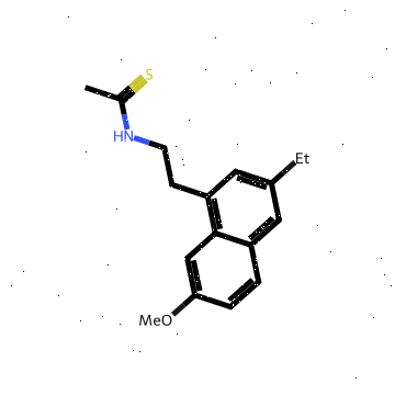 CCc1cc(CCNC(C)=S)c2cc(OC)ccc2c1